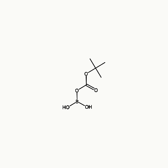 CC(C)(C)OC(=O)OB(O)O